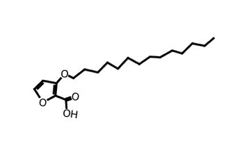 CCCCCCCCCCCCCCOc1ccoc1C(=O)O